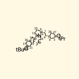 CC(C)Oc1ccc(/C=C/c2cccc(/C=C/c3ccc(OC(C)(C)C)cc3)[n+]2CC(F)(F)F)cc1